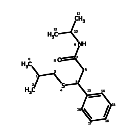 CC(C)CSC(CC(=O)NC(C)C)c1ccccc1